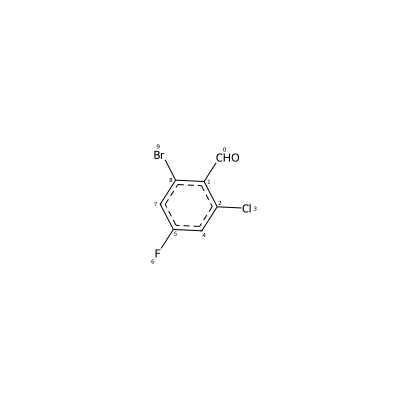 O=Cc1c(Cl)cc(F)cc1Br